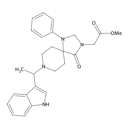 COC(=O)CN1CN(c2ccccc2)C2(CCN(C(C)c3c[nH]c4ccccc34)CC2)C1=O